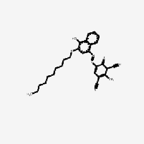 CCCCCCCCCCOc1cc(N=NC2=CC(C#N)=C(C)C(C#N)C2=S)c2ccccc2c1O